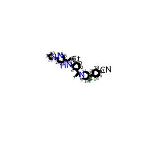 C=C(Nc1cc(C(=C)N2CCC(F)(c3ccc(C#N)cc3)CC2)ccc1CC)c1ccc(N2CCC2)nc1